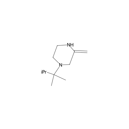 C=C1CN(C(C)(C)C(C)C)CCN1